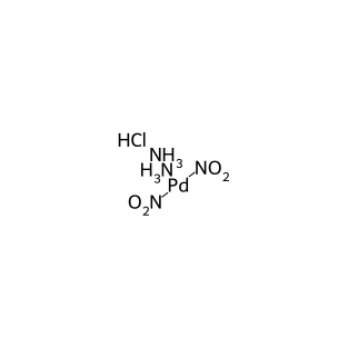 Cl.N.N.O=[N+]([O-])[Pd][N+](=O)[O-]